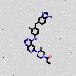 C=CC(=O)N1CCN(c2cc3c(Nc4ccc(Cc5ccc6c(c5)ncn6C)c(C)c4)ncnc3cn2)C(C)C1